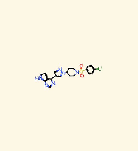 O=S(=O)(c1ccc(Cl)cc1)N1CCC(n2cc(-c3ncnc4[nH]ccc34)cn2)CC1